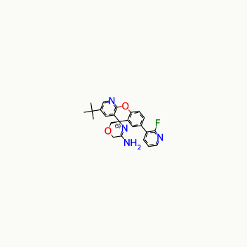 CC(C)(C)c1cnc2c(c1)[C@]1(COCC(N)=N1)c1cc(-c3cccnc3F)ccc1O2